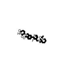 CC(=O)N1CCCCC12CN(Cc1ccnc(-c3ccc4c(c3)CN(C3CCC(=O)NC3=O)C4=O)c1F)C2